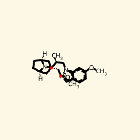 COCC[C@@H]1C[C@H]2CC[C@@H](C1)N2C[C@@H](C)Cn1ncc2ccc(OC)cc21